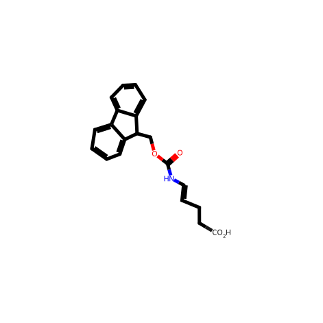 O=C(O)CCC=CNC(=O)OCC1c2ccccc2-c2ccccc21